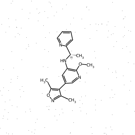 COc1ncc(-c2c(C)noc2C)cc1N[C@@H](C)c1ccccn1